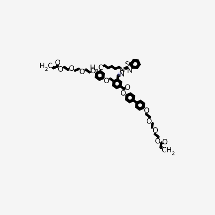 C=CC(=O)OCCOCCOCCOc1ccc(OCc2ccc(C(=O)Oc3ccc(-c4ccc(OCCOCCOCCOC(=O)C=C)cc4)cc3)cc2/C=N/N(CCCCCC)c2nc3ccccc3s2)cc1